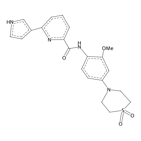 COc1cc(N2CCS(=O)(=O)CC2)ccc1NC(=O)c1cccc(-c2cc[nH]c2)n1